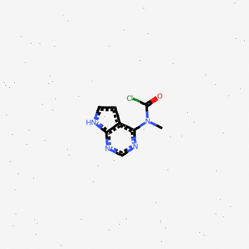 CN(C(=O)Cl)c1ncnc2[nH]ccc12